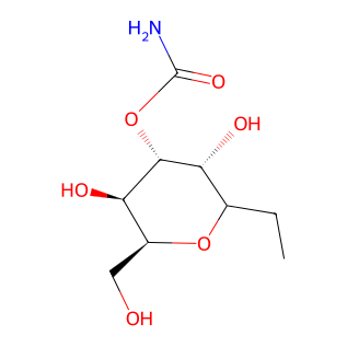 CCC1O[C@@H](CO)[C@@H](O)[C@H](OC(N)=O)[C@@H]1O